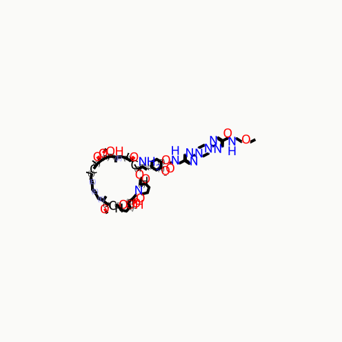 CCOCCNC(=O)c1cnc(N2CCN(c3ncc(CNC(=O)O[C@@H]4CC[C@@H](C[C@@H](N)[C@@H]5CC(=O)[C@H](C)/C=C(\C)[C@@H](O)[C@@H](OC)C(=O)[C@H](C)C[C@H](C)/C=C/C=C/C=C(\C)[C@@H](OC)C[C@@H]6CC[C@@H](C)[C@@](O)(O6)C(=O)C(=O)N6CCCC[C@H]6C(=O)O5)C[C@H]4OC)cn3)CC2)nc1